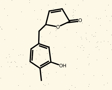 Cc1ccc(CC2C=CC(=O)O2)cc1O